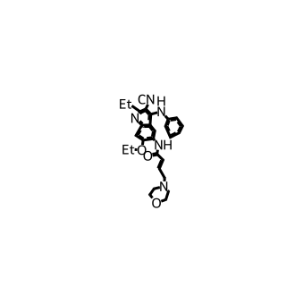 CCOc1cc2nc(CC)c(C#N)c(Nc3ccccc3)c2cc1NC(=O)/C=C/CN1CCOCC1